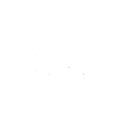 Cc1cc(C(=O)C=C(c2cc(Cl)c(F)c(Cl)c2)C(F)(F)F)ccc1C(=O)OC(C)(C)C